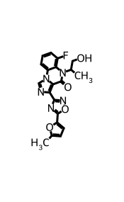 Cc1ccc(-c2nc(-c3ncn4c3c(=O)n(C(C)CO)c3c(F)cccc34)no2)o1